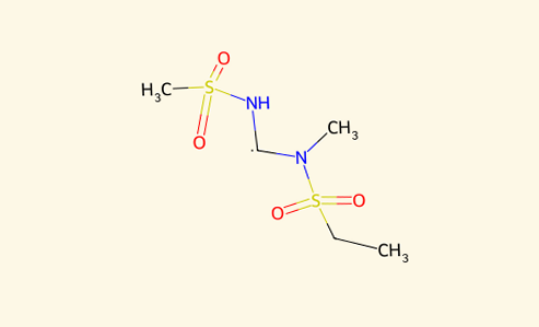 CCS(=O)(=O)N(C)[CH]NS(C)(=O)=O